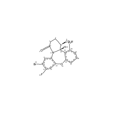 O=C(O)[C@@H]1CCC(=O)N2c3cc(Br)c(F)cc3Oc3cccc(F)c3[C@@H]12